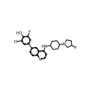 Oc1c(F)cc(-c2ccc3nc[c]c(NC4CCC(N5CCC(F)C5)CC4)c3c2)cc1Cl